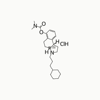 CN(C)C(=O)Oc1cccc2c1CC[C@@H]1[C@H]2CCN1CCCC1CCCCC1.Cl